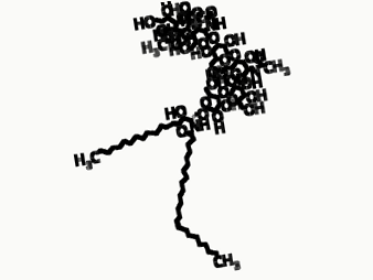 CCCCCCCC/C=C\CCCCCCCCCCCCCC(=O)N[C@@H](CO[C@@H]1OC(CO)[C@@H](O[C@@H]2OC(CO)[C@H](O)[C@H](O[C@@H]3OC(CO)[C@@H](O[C@@H]4OC(CO)[C@H](O)[C@H](O[C@@H]5OC(CO)[C@H](O)[C@H](O[C@]6(C(=O)O)CC(O)[C@@H](NC(C)=O)C([C@H](O)[C@H](O)CO)O6)C5NC(C)=O)C4O)[C@H](O)C3NC(C)=O)C2O)[C@H](O)C1O)[C@H](O)/C=C/CCCCCCCCCCCCC